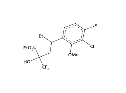 CCOC(=O)C(O)(CC(CC)c1ccc(F)c(Cl)c1OC)C(F)(F)F